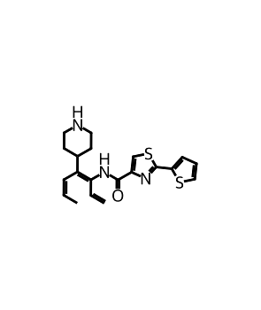 C=C/C(NC(=O)c1csc(-c2cccs2)n1)=C(\C=C/C)C1CCNCC1